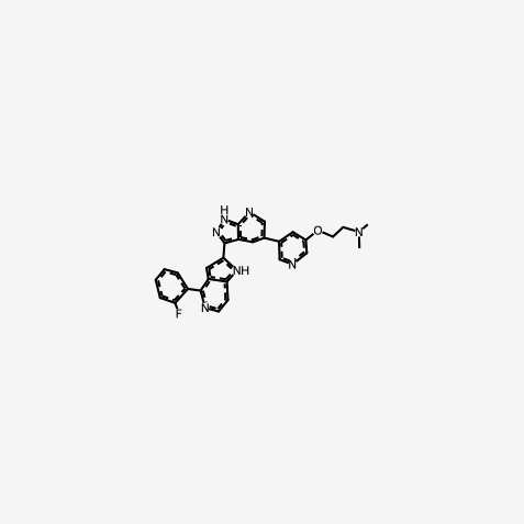 CN(C)CCOc1cncc(-c2cnc3[nH]nc(-c4cc5c(-c6ccccc6F)nccc5[nH]4)c3c2)c1